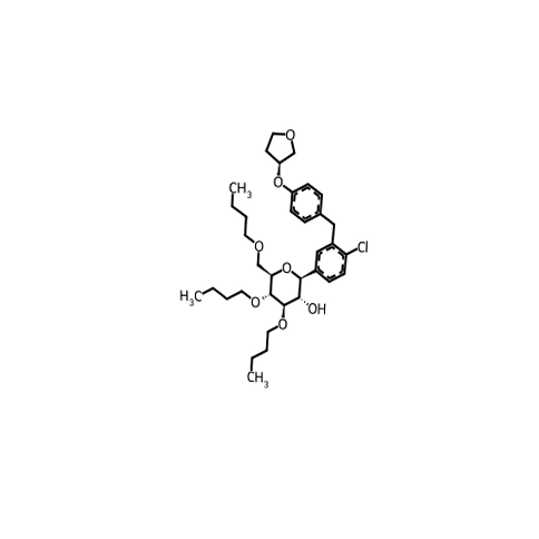 CCCCOC[C@H]1O[C@@H](c2ccc(Cl)c(Cc3ccc(O[C@H]4CCOC4)cc3)c2)[C@H](O)[C@@H](OCCCC)[C@@H]1OCCCC